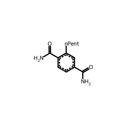 CCCCCc1cc(C(N)=O)ccc1C(N)=O